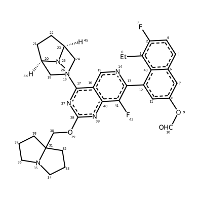 CCc1c(F)ccc2cc(OC=O)cc(-c3ncc4c(N5C[C@H]6CC[C@@H](C5)N6C)nc(OCC56CCCN5CCC6)nc4c3F)c12